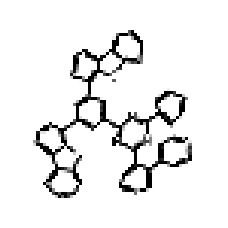 c1ccc(-c2nc(-c3cc(-c4cccc5c4sc4ccccc45)cc(-c4cccc5c4sc4ccccc45)c3)nc(-c3ccccc3-c3ccncc3)n2)cc1